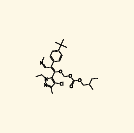 CCC(C)COC(=O)OCO/C(=C(/C=N\C)c1ccc(C(C)(C)C)cc1)c1c(Cl)c(C)nn1CC